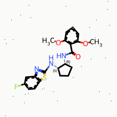 COc1cccc(OC)c1C(=O)N[C@@H]1CCC[C@@H]1Nc1nc2cc(F)ccc2s1